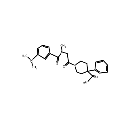 CCCC(=O)C1(c2ccccc2)CCN(C(=O)CN(C)C(=O)c2cccc(N(C)C)c2)CC1